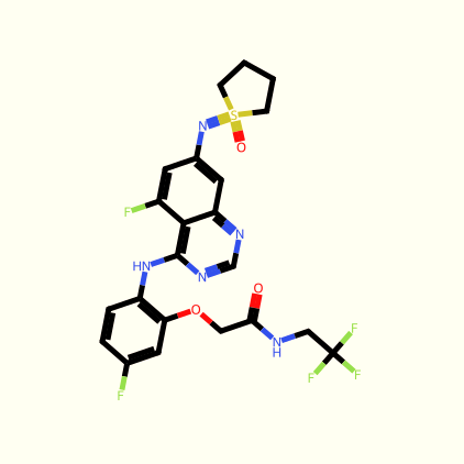 O=C(COc1cc(F)ccc1Nc1ncnc2cc(N=S3(=O)CCCC3)cc(F)c12)NCC(F)(F)F